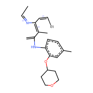 C=C(Nc1ccc(C)cc1OC1CCOCC1)/C(C)=C(/C=C\CC)\N=C/C